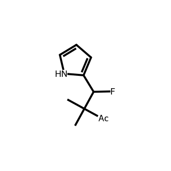 CC(=O)C(C)(C)C(F)c1ccc[nH]1